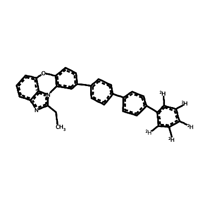 [2H]c1c([2H])c([2H])c(-c2ccc(-c3ccc(-c4ccc5c(c4)-n4c(CC)nc6cccc(c64)O5)cc3)cc2)c([2H])c1[2H]